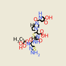 CC[C@H](O/N=C(\C(=O)N[C@@H]1C(=O)N2C(C(=O)O)=C(C[N+]34CCC[C@H]3CN(C(=O)c3cc(=O)c(O)c[nH]3)CC4)CS[C@H]12)c1csc(N)n1)C(=O)O